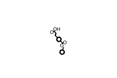 O=C(O)/C=C/c1ccc(C(=O)OCc2ccccc2)cc1